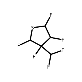 FC1SC(F)C(F)(C(F)F)C1F